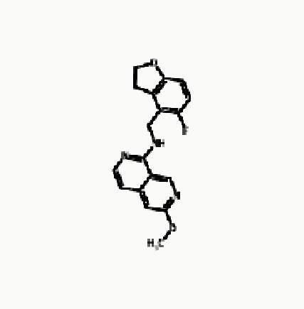 COc1cc2ccnc(NCc3c(F)ccc4c3CCO4)c2cn1